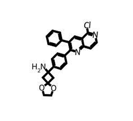 NC1(c2ccc(-c3nc4ccnc(Cl)c4cc3-c3ccccc3)cc2)CC2(C1)OCCO2